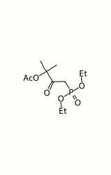 CCOP(=O)(CC(=O)C(C)(C)OC(C)=O)OCC